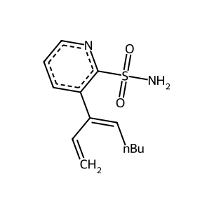 C=CC(=CCCCC)c1cccnc1S(N)(=O)=O